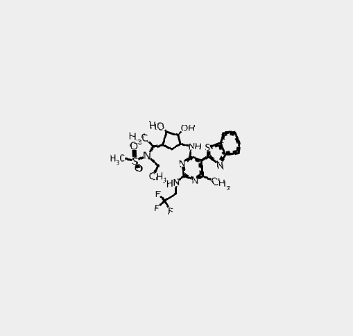 CCN(C(C)C1CC(Nc2nc(NCC(F)(F)F)nc(C)c2-c2nc3ccccc3s2)[C@H](O)[C@@H]1O)S(C)(=O)=O